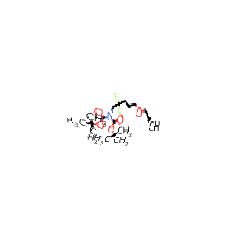 C#CCOCCCC(F)(F)CN(C(=O)OC(C)(C)C)C(=O)OC(C)(C)C